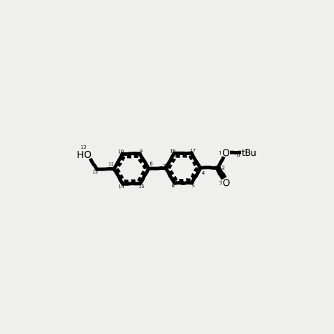 CC(C)(C)OC(=O)c1ccc(-c2ccc(CO)cc2)cc1